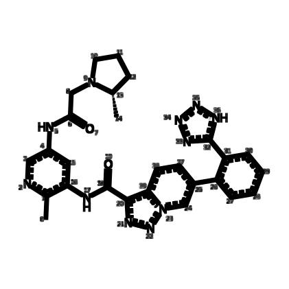 Cc1ncc(NC(=O)CN2CCC[C@@H]2C)cc1NC(=O)c1nnn2cc(-c3ccccc3-c3nnn[nH]3)ccc12